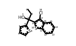 CCC(O)(c1cccs1)c1sc2ccccc2c1Cl